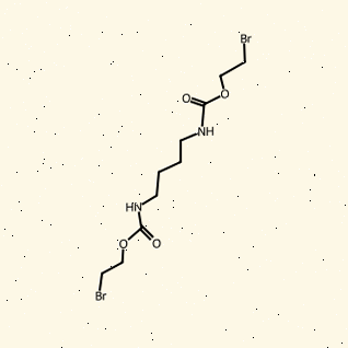 O=C(NCCCCNC(=O)OCCBr)OCCBr